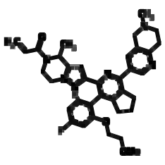 C=CC(=O)N1CCn2nc(-c3nc(-c4cnc5c(c4)CN(C)CC5)c4c(c3-c3c(F)cc(F)cc3OCCOC)CCC4)cc2C1C